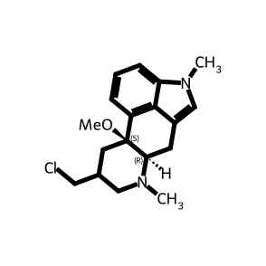 CO[C@]12CC(CCl)CN(C)[C@@H]1Cc1cn(C)c3cccc2c13